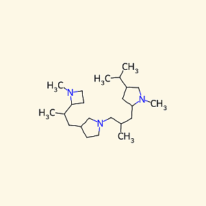 CC(CC1CC(C(C)C)CN1C)CN1CCC(CC(C)C2CCN2C)C1